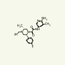 Cc1cc(NC(=O)C(=O)N2C[C@@H](C)N(CC(C)C)C[C@@H]2c2ccc(F)cc2)cnc1N